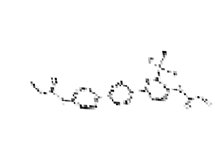 C=CC(=O)Sc1ccc(-c2ccc(-c3ccc(SC(=O)C=C)c(C(F)(F)F)c3)cc2)cc1